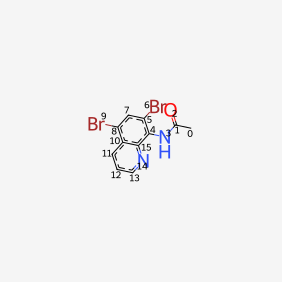 CC(=O)Nc1c(Br)cc(Br)c2cccnc12